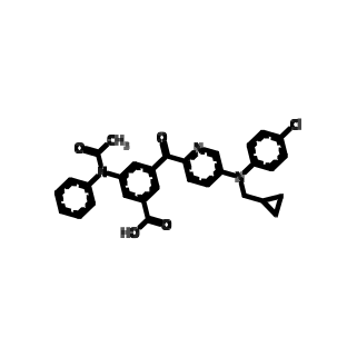 CC(=O)N(c1ccccc1)c1cc(C(=O)O)cc(C(=O)c2ccc(N(CC3CC3)c3ccc(Cl)cc3)cn2)c1